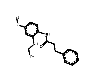 CCOc1ccc(NC(=O)CCc2ccccc2)c(NCC(C)C)c1